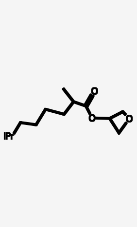 CC(C)CCCCC(C)C(=O)OC1COC1